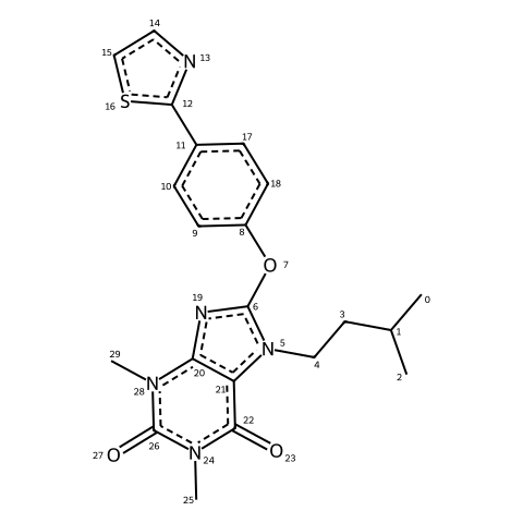 CC(C)CCn1c(Oc2ccc(-c3nccs3)cc2)nc2c1c(=O)n(C)c(=O)n2C